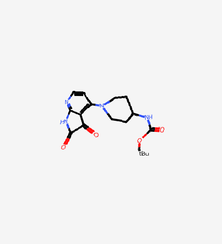 CC(C)(C)OC(=O)NC1CCN(c2ccnc3c2C(=O)C(=O)N3)CC1